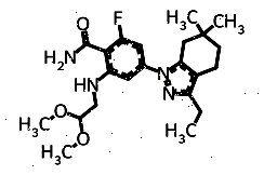 CCc1nn(-c2cc(F)c(C(N)=O)c(NCC(OC)OC)c2)c2c1CCC(C)(C)C2